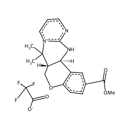 COC(=O)c1ccc2c(c1)[C@@H]1Nc3nccc[n+]3C(C)(C)[C@H]1CO2.O=C([O-])C(F)(F)F